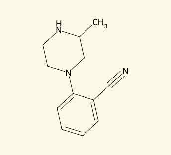 CC1CN(c2ccccc2C#N)CCN1